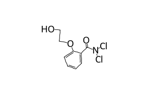 O=C(c1ccccc1OCCO)N(Cl)Cl